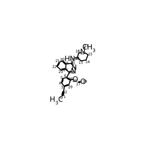 CC#Cc1ccc(-c2nnc(N[C@@H]3CCCN(C)C3)c3ccccc23)c(OC=O)c1